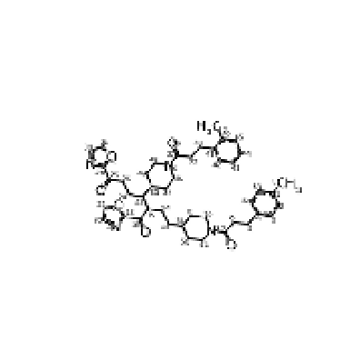 Cc1ccc(CCC(=O)N2CCC(CCC(C(=O)c3ncco3)C(CCC(=O)c3ncco3)C3CCN(C(=O)CCc4ccccc4C)CC3)CC2)cc1